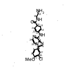 COc1ccc(-c2cnc3c(NC4=CCC(C(=O)NCCN)C=C4)nccn23)cc1Cl